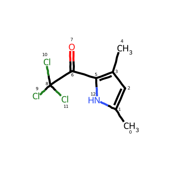 Cc1cc(C)c(C(=O)C(Cl)(Cl)Cl)[nH]1